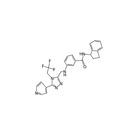 O=C(NC1CCc2ccccc21)c1cccc(NCc2nnc(-c3ccncc3)n2CC(F)(F)F)c1